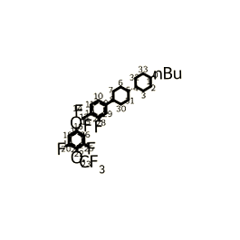 CCCC[C@H]1CC[C@H](C2CCC(c3ccc(C(F)(F)Oc4cc(F)c(OC(F)(F)F)c(F)c4)c(F)c3)CC2)CC1